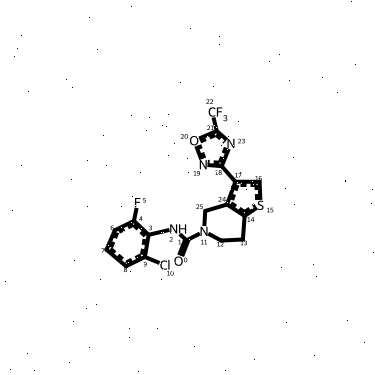 O=C(Nc1c(F)cccc1Cl)N1CCc2scc(-c3noc(C(F)(F)F)n3)c2C1